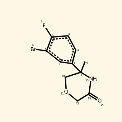 CC1(c2ccc(F)c(Br)c2)COCC(=O)N1